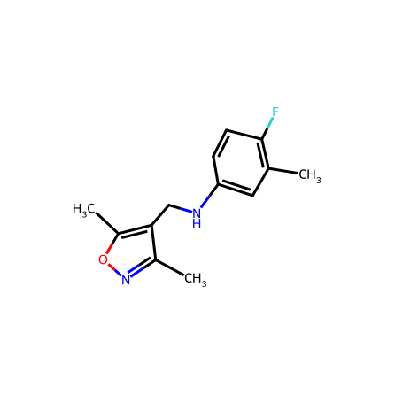 Cc1cc(NCc2c(C)noc2C)ccc1F